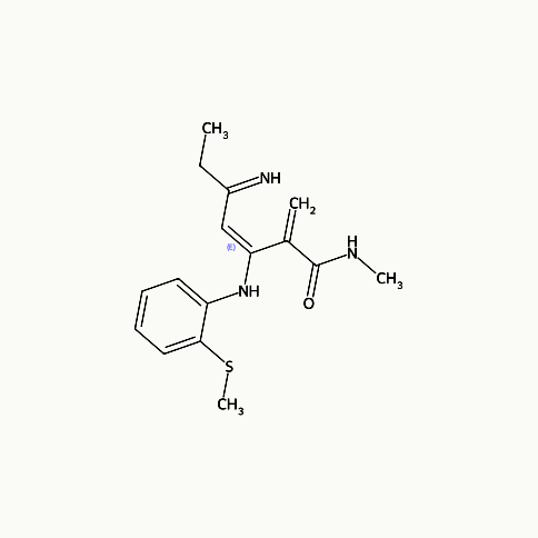 C=C(C(=O)NC)/C(=C\C(=N)CC)Nc1ccccc1SC